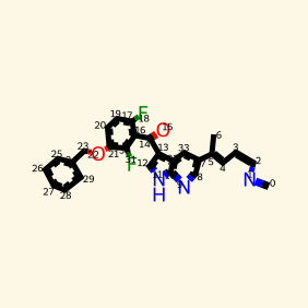 C=N/C=C\C=C(/C)c1cnc2[nH]cc(C(=O)c3c(F)ccc(OCc4ccccc4)c3F)c2c1